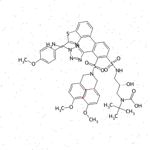 COc1ccc(CN(Cc2ccc(OC)cc2)S(=O)(=O)c2c(S(=O)(=O)NC[C@H](O)CN(C(=O)O)C(C)(C)C)ccc(-c3cccc4sc(CN)nc34)c2-c2nnn(Cc3ccc(OC)cc3)n2)cc1